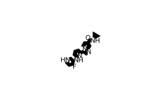 O=C(NC1CC1)c1ccn2c(-c3cccc(N[C@H]4CNCC[C@@H]4F)n3)cnc2c1